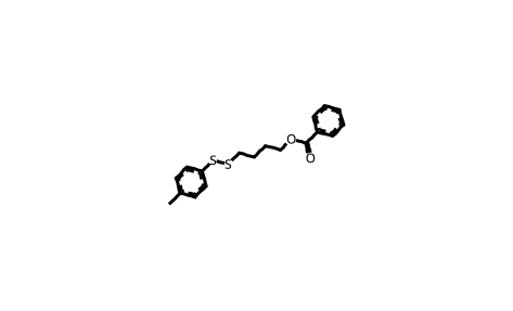 Cc1ccc(SSCCCCOC(=O)c2ccccc2)cc1